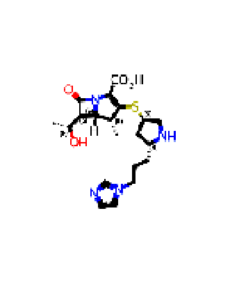 C[C@@H](O)[C@H]1C(=O)N2C(C(=O)O)=C(S[C@@H]3CN[C@H](CCCn4ccnc4)C3)[C@H](C)[C@H]12